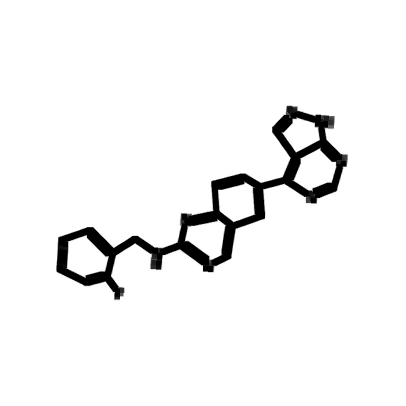 Fc1ccccc1CNc1ncc2cc(-c3ncnc4[nH]ncc34)ccc2n1